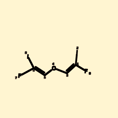 FC(I)=COC=C(F)I